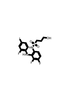 O=S(=O)(CCCO)Nc1ccc(F)c(F)c1[AsH]c1ccc(I)cc1F